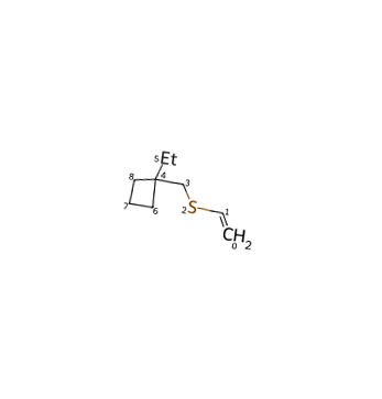 C=CSCC1(CC)CCC1